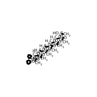 CC(OC(=O)C(C)OC(=O)C(C)OC(=O)C(C)OC(=O)C(C)OC(=O)C(C)OC(=O)C(C)OC(=O)C(C)OC(=O)C(C)OC(=O)C(C)OC(=O)C(C)OC(=O)C(C)O[Si](c1ccccc1)(c1ccccc1)C(C)(C)C)C(=O)O